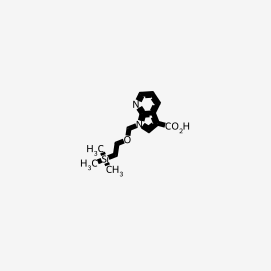 C[Si](C)(C)CCOCn1cc(C(=O)O)c2cccnc21